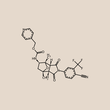 C[C@@]12O[C@@](C)(C[C@H]1NC(=O)OCc1ccncc1)[C@H]1C(=O)N(c3ccc(C#N)c(C(F)(F)F)c3)C(=O)[C@H]12